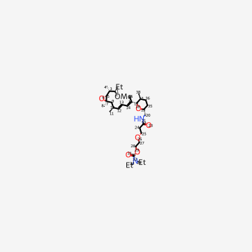 CC[C@H](OC)[C@@H](C)[C@H]1O[C@]1(C)C[C@H](C)/C=C/C=C(\C)[C@H]1O[C@@H](CNC(=O)CCOCCOC(=O)N(CC)CC)CC[C@@H]1C